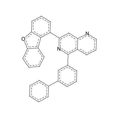 c1ccc(-c2cccc(-c3nc(-c4cccc5oc6ccccc6c45)cc4ncccc34)c2)cc1